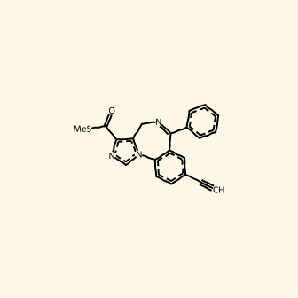 C#Cc1ccc2c(c1)C(c1ccccc1)=NCc1c(C(=O)SC)ncn1-2